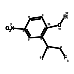 [CH2]C(CF)c1cc([N+](=O)[O-])ccc1OCC